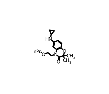 CCCOCCN1C(=O)C(C)(C)Oc2ccc(NC3CC3)cc21